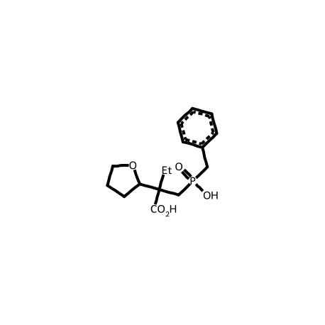 CCC(CP(=O)(O)Cc1ccccc1)(C(=O)O)C1CCCO1